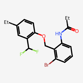 CCC(=O)Nc1cccc(Br)c1COc1ccc(CC)cc1C(F)F